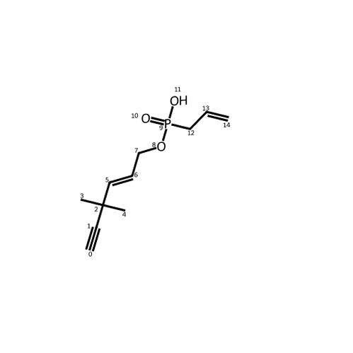 C#CC(C)(C)C=CCOP(=O)(O)CC=C